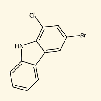 Clc1cc(Br)cc2c1[nH]c1ccccc12